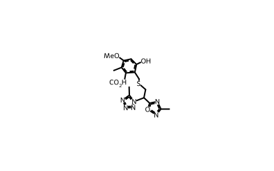 COc1cc(O)c(CSCC(c2nc(C)no2)n2nnnc2C)c(C(=O)O)c1C